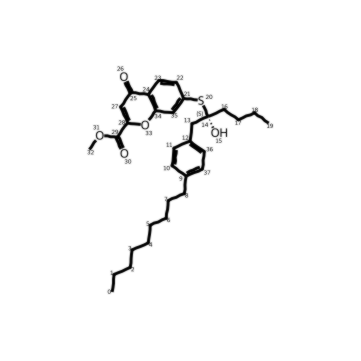 CCCCCCCCCc1ccc(C[C@](O)(CCCC)Sc2ccc3c(=O)cc(C(=O)OC)oc3c2)cc1